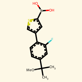 COC(C)(C)c1ccc(-c2csc(B(O)O)c2)c(F)c1